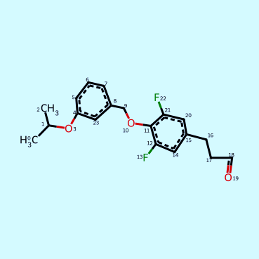 CC(C)Oc1cccc(COc2c(F)cc(CCC=O)cc2F)c1